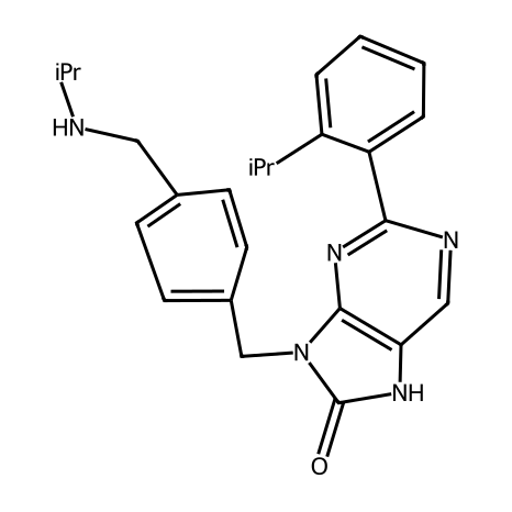 CC(C)NCc1ccc(Cn2c(=O)[nH]c3cnc(-c4ccccc4C(C)C)nc32)cc1